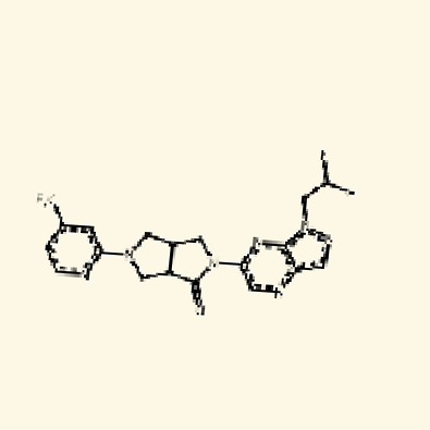 O=C1C2CN(c3cc(C(F)(F)F)ccn3)CC2CN1c1cnc2cnn(CC(F)F)c2n1